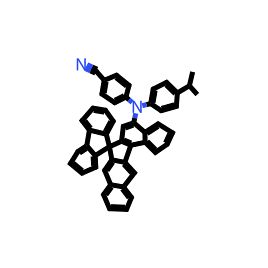 CC(C)c1ccc(N(c2ccc(C#N)cc2)c2cc3c(c4ccccc24)-c2cc4ccccc4cc2C32c3ccccc3-c3ccccc32)cc1